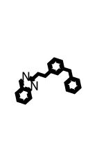 c1ccc(Cc2cccc(CCc3ncc4ccccc4n3)c2)cc1